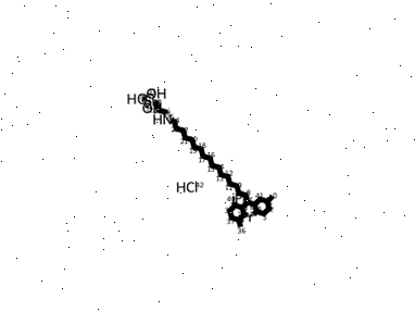 CC1CCC(C(C)C)C(C(CCCCCCCCCCCCCCCCCNCCC[Si](O)(O)O)C2CC(C)CCC2C(C)C)C1.Cl